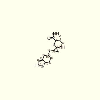 NC(=O)C1CCNC2(C1)CC2C[C@H]1CCc2n[nH]cc2C1